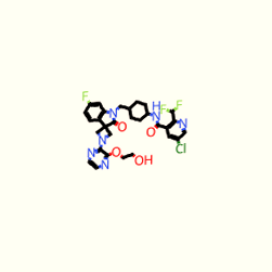 O=C(NC1CCC(CN2C(=O)C3(CN(c4nccnc4OCCO)C3)c3ccc(F)cc32)CC1)c1cc(Cl)cnc1C(F)F